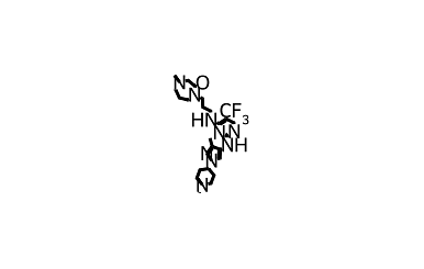 Cc1nn(C2CCN(C)CC2)cc1Nc1ncc(C(F)(F)F)c(NCCCN2CCCN(C)CC2=O)n1